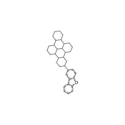 c1ccc2c(c1)oc1ccc(C3CCC4C(C3)C3CCCC5C6CCCCC6C6CCCC4C6C53)cc12